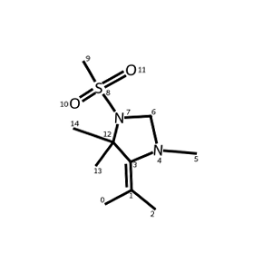 CC(C)=C1N(C)CN(S(C)(=O)=O)C1(C)C